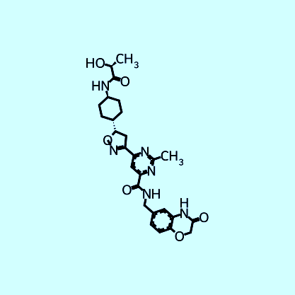 Cc1nc(C(=O)NCc2ccc3c(c2)NC(=O)CO3)cc(C2=NOC([C@H]3CC[C@H](NC(=O)[C@H](C)O)CC3)C2)n1